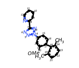 COc1cc(-n2nnc(-c3ccccn3)n2)ccc1-c1c(C)cccc1C